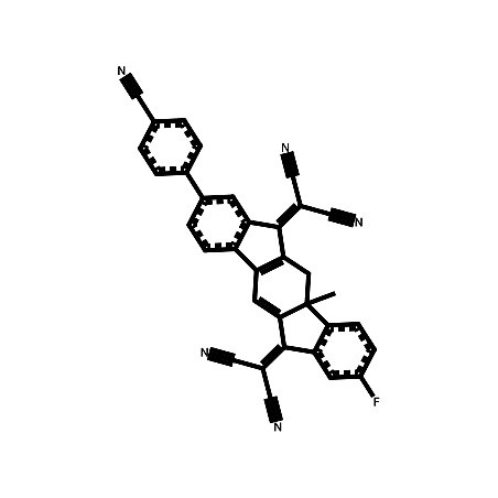 CC12CC3=C(C=C1C(=C(C#N)C#N)c1cc(F)ccc12)c1ccc(-c2ccc(C#N)cc2)cc1C3=C(C#N)C#N